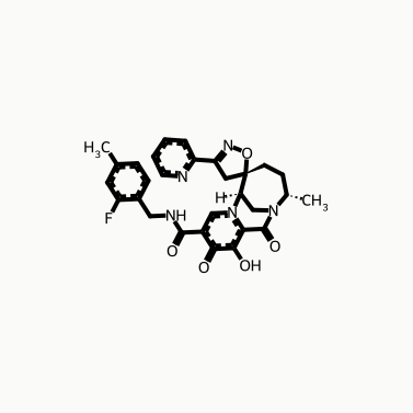 Cc1ccc(CNC(=O)c2cn3c(c(O)c2=O)C(=O)N2C[C@@H]3[C@]3(CC[C@@H]2C)CC(c2ccccn2)=NO3)c(F)c1